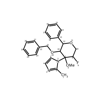 COC1(n2ccnc2C)C(F)COC(c2ccccc2)C1OCc1ccccc1